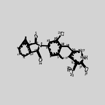 Cc1cc(N2C(=O)c3ccccc3C2=O)cc(Cl)c1Cc1cc(C(C)C)c(=O)[nH]n1